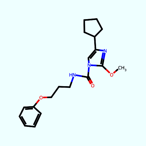 COc1nc(C2CCCC2)cn1C(=O)NCCCOc1ccccc1